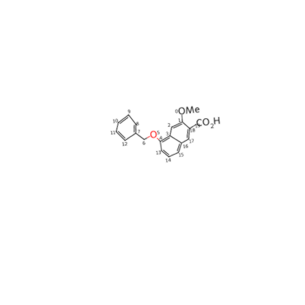 COc1cc2c(OCc3ccccc3)cccc2cc1C(=O)O